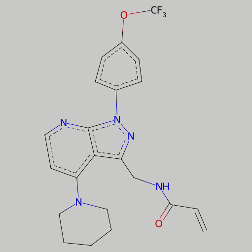 C=CC(=O)NCc1nn(-c2ccc(OC(F)(F)F)cc2)c2nccc(N3CCCCC3)c12